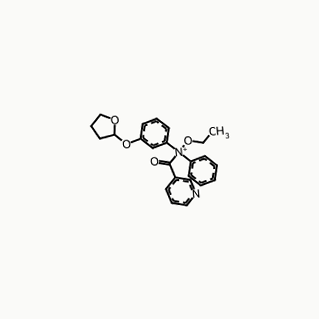 CCO[N+](C(=O)c1cccnc1)(c1ccccc1)c1cccc(OC2CCCO2)c1